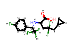 O=C(O)C(CC(F)(F)CC1CC1)N[C@@H](c1ccc(F)cc1)C(F)(F)F